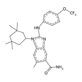 Cc1cc2c(cc1C(N)=O)nc(Nc1ccc(OC(F)(F)F)cc1)n2C1CC(C)(C)CC(C)(C)C1